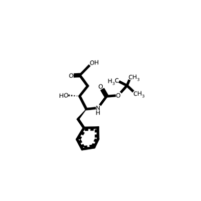 CC(C)(C)OC(=O)N[C@@H](Cc1ccccc1)[C@H](O)CC(=O)O